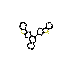 c1ccc2c(c1)cc(-c1ccc3c(c1)sc1ccccc13)c1cc3c(cc12)sc1ccccc13